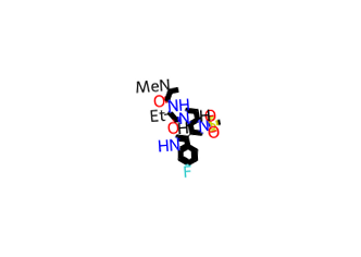 CC[C@H](NC(=O)[C@H](C)NC)C(=O)N1CC[C@@H]2[C@H]1[C@@H](c1c[nH]c3cc(F)ccc13)CN2S(C)(=O)=O